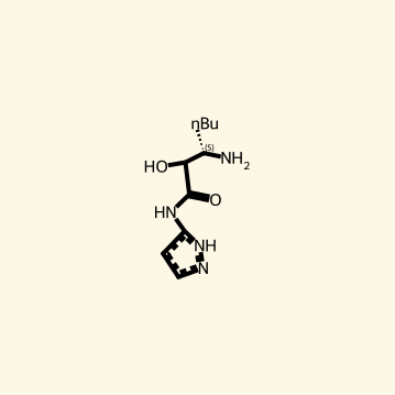 CCCC[C@H](N)C(O)C(=O)Nc1ccn[nH]1